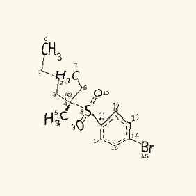 CCCC[C@](C)(CC)S(=O)(=O)c1ccc(Br)cc1